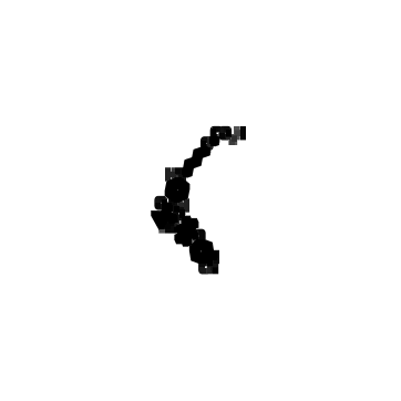 CC1(C)[C@H](NC(=O)C2(C(=O)Nc3ccc(NCCCCCOCC(=O)O)cc3)CC2)C(C)(C)[C@H]1Oc1ccc(C#N)c(I)c1